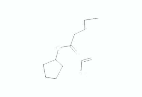 CCCCC(=O)NC1CCCC1.NC=O